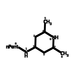 CCCCCNC1CC(C)NC(C)C1